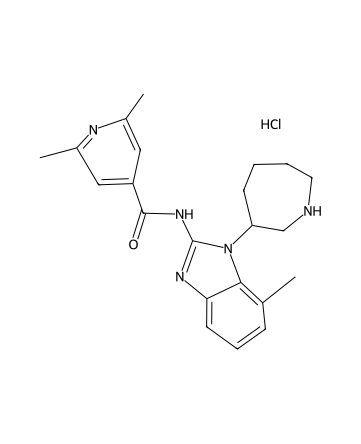 Cc1cc(C(=O)Nc2nc3cccc(C)c3n2C2CCCCNC2)cc(C)n1.Cl